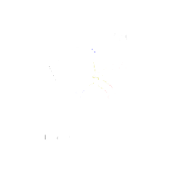 CCOC(=O)CN1CCCN(C(=O)O)S1(=O)=O